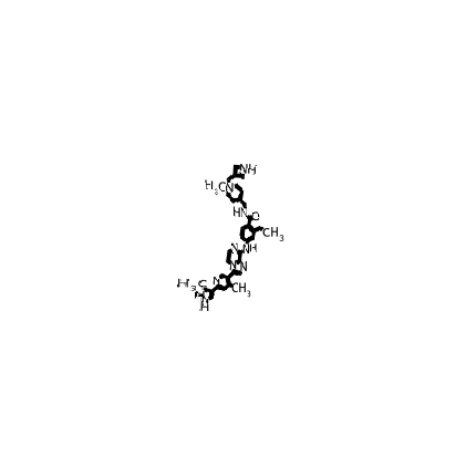 CCc1cc(Nc2nccn3c(-c4cnc(-c5c[nH]nc5C)cc4C)cnc23)ccc1C(=O)NCC1CC[N+](C)(CC2CNC2)CC1